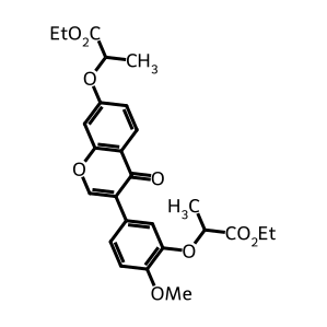 CCOC(=O)C(C)Oc1ccc2c(=O)c(-c3ccc(OC)c(OC(C)C(=O)OCC)c3)coc2c1